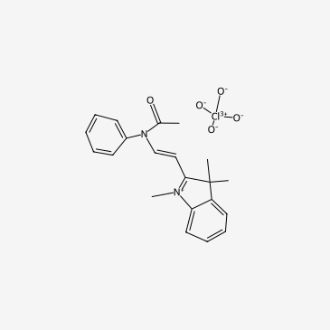 CC(=O)N(C=CC1=[N+](C)c2ccccc2C1(C)C)c1ccccc1.[O-][Cl+3]([O-])([O-])[O-]